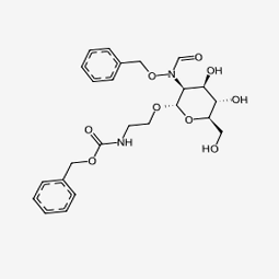 O=CN(OCc1ccccc1)[C@@H]1[C@@H](OCCNC(=O)OCc2ccccc2)O[C@H](CO)[C@@H](O)[C@@H]1O